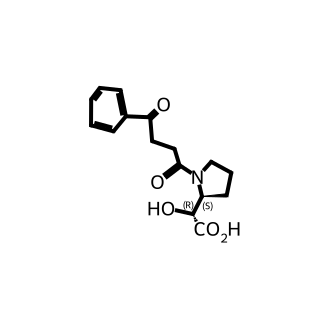 O=C(CCC(=O)N1CCC[C@H]1[C@@H](O)C(=O)O)c1ccccc1